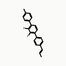 CC=Cc1ccc(-c2ccc(-c3ccc(C)cc3)c(F)c2F)cc1